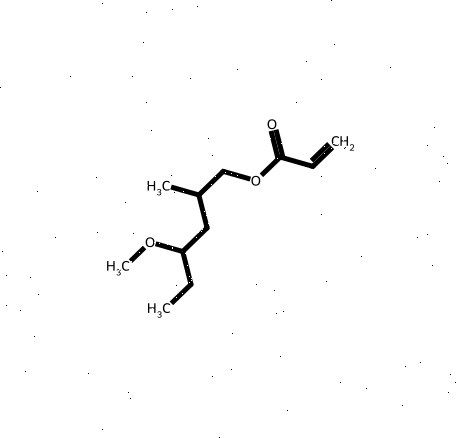 C=CC(=O)OCC(C)CC(CC)OC